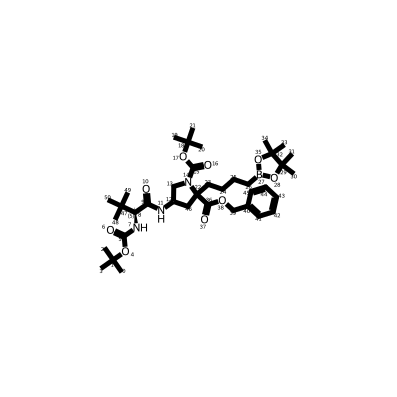 CC(C)(C)OC(=O)N[C@H](C(=O)NC1CN(C(=O)OC(C)(C)C)C(CCCCB2OC(C)(C)C(C)(C)O2)(C(=O)OCc2ccccc2)C1)C(C)(C)C